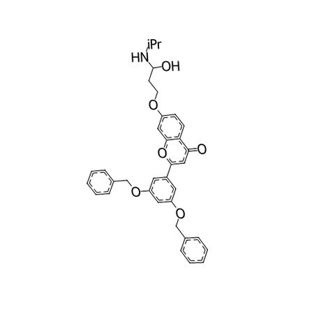 CC(C)NC(O)CCOc1ccc2c(=O)cc(-c3cc(OCc4ccccc4)cc(OCc4ccccc4)c3)oc2c1